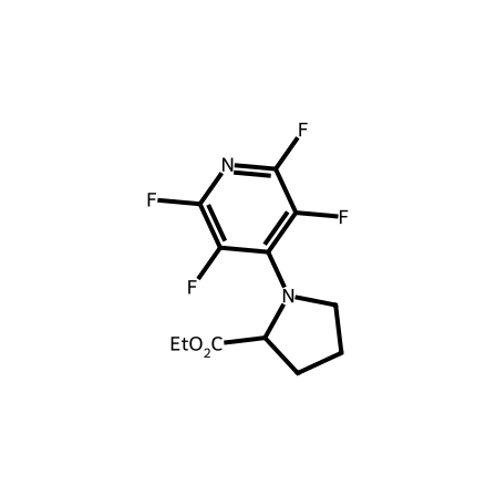 CCOC(=O)C1CCCN1c1c(F)c(F)nc(F)c1F